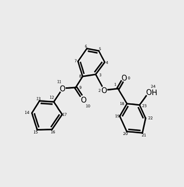 O=C(Oc1ccccc1C(=O)Oc1ccccc1)c1ccccc1O